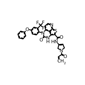 C=CC(=O)N1CC=C(NC(=O)c2sc3nccc4c3c2NC(=O)N4c2ccc(Oc3ccccc3)cc2C(F)(F)F)C1